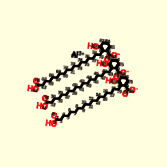 O=C(O)CCCCCCCCCCCCCCCCCc1c(O)cccc1C(=O)[O-].O=C(O)CCCCCCCCCCCCCCCCCc1c(O)cccc1C(=O)[O-].O=C(O)CCCCCCCCCCCCCCCCCc1c(O)cccc1C(=O)[O-].[Al+3]